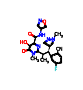 C[C@@H](c1nc(C(=O)Nc2cnoc2)c(O)c(=O)n1C)[C@H](c1cnn(C)c1)c1cc(F)ccc1C#N